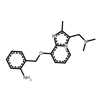 Cc1nc2c(OCc3ccccc3N)cccn2c1CN(C)C